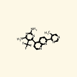 Cc1cncnc1-c1ccc2c(-c3nc(N)nc(N)c3C(F)(F)F)ccnc2n1